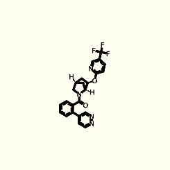 O=C(c1ccccc1-c1ccnnc1)N1C[C@H]2C[C@@H](Oc3ccc(C(F)(F)F)cn3)[C@@H]1C2